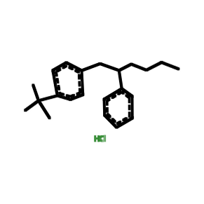 CCCCC(Cc1ccc(C(C)(C)C)cc1)c1ccccc1.Cl